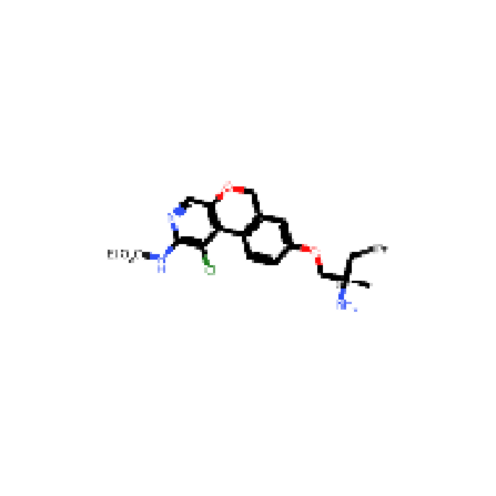 CCOC(=O)Nc1ncc2c(c1Cl)-c1ccc(OC[C@@](C)(N)CC(C)C)cc1CO2